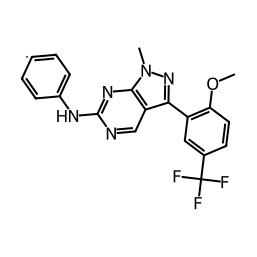 COc1ccc(C(F)(F)F)cc1-c1nn(C)c2nc(Nc3cc[c]cc3)ncc12